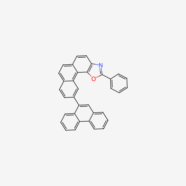 c1ccc(-c2nc3ccc4ccc5ccc(-c6cc7ccccc7c7ccccc67)cc5c4c3o2)cc1